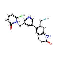 O=C1CCc2cc(-c3cncc(Cn4c(Cl)cccc4=O)c3)c(CF)cc2N1